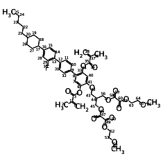 C=C(C)C(=O)Oc1cc(-c2ccc(-c3ccc(C4CCC(CCCCC)CC4)cc3F)cc2)c(OC(=O)C(=C)C)cc1OCC(COC(=O)C(=O)OCCOC)COC(=O)C(=O)OCCOC